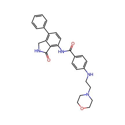 O=C(Nc1ccc(-c2ccccc2)c2c1C(=O)NC2)c1ccc(NCCN2CCOCC2)cc1